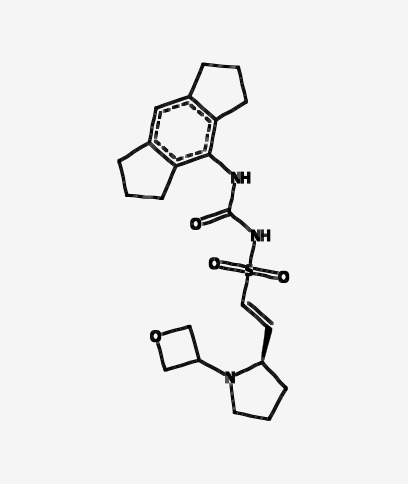 O=C(Nc1c2c(cc3c1CCC3)CCC2)NS(=O)(=O)/C=C/[C@H]1CCCN1C1COC1